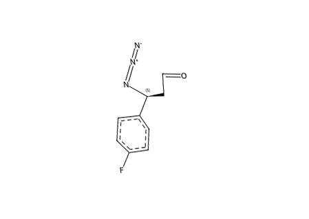 [N-]=[N+]=N[C@@H](CC=O)c1ccc(F)cc1